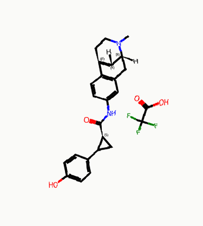 CN1CC[C@]23CCCC[C@H]2[C@H]1Cc1cc(NC(=O)[C@H]2CC2c2ccc(O)cc2)ccc13.O=C(O)C(F)(F)F